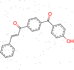 O=C(C=Cc1ccccc1)c1ccc(C(=O)c2ccc(O)cc2)cc1